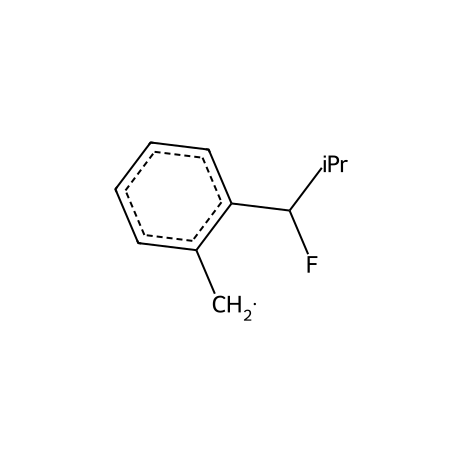 [CH2]c1ccccc1C(F)C(C)C